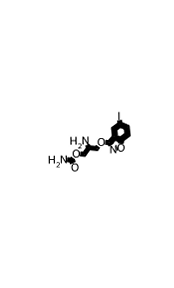 NC(=O)OCC(N)COc1noc2ccc(I)cc12